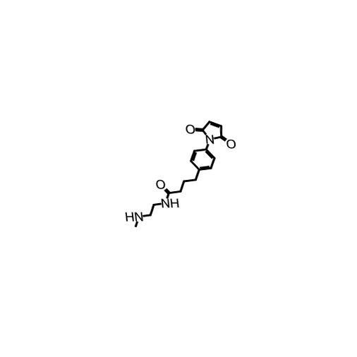 CNCCNC(=O)CCCc1ccc(N2C(=O)C=CC2=O)cc1